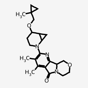 Cc1c(N2CCC(OCC3(C)CC3)C3CC32)nc2c(c1C)C(=O)N1CCOCC21